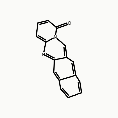 O=c1cccc2nc3cc4ccccc4cc3cn12